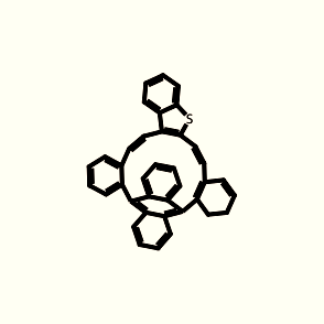 C1=Cc2ccc3sc4ccccc4c3ccc3ccccc3c3c4ccccc4c(c2CC1)c1ccccc13